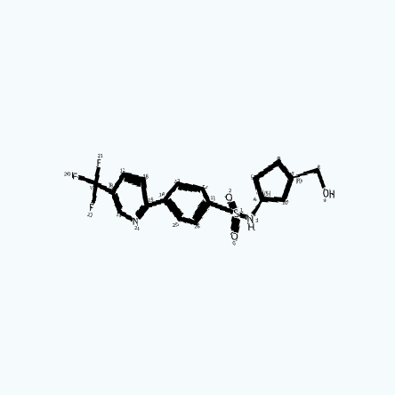 O=S(=O)(N[C@H]1CC[C@@H](CO)C1)c1ccc(-c2ccc(C(F)(F)F)cn2)cc1